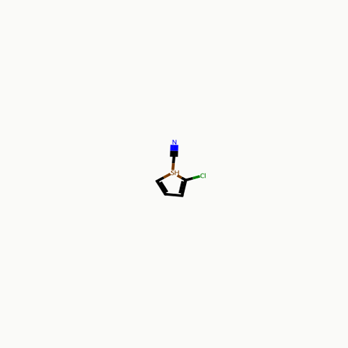 N#C[SH]1C=CC=C1Cl